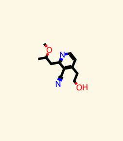 COC(C)Cc1nccc(CCO)c1C#N